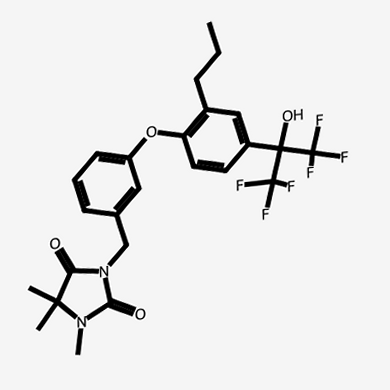 CCCc1cc(C(O)(C(F)(F)F)C(F)(F)F)ccc1Oc1cccc(CN2C(=O)N(C)C(C)(C)C2=O)c1